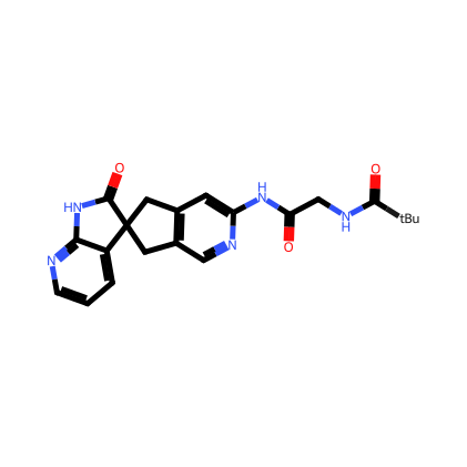 CC(C)(C)C(=O)NCC(=O)Nc1cc2c(cn1)CC1(C2)C(=O)Nc2ncccc21